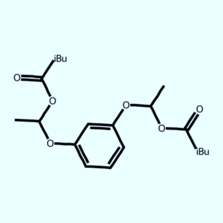 CCC(C)C(=O)OC(C)Oc1cccc(OC(C)OC(=O)C(C)CC)c1